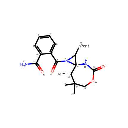 CCCCCC1N(C(=O)c2ccccc2C(N)=O)[C@]12NC(=O)OCC(C)(C)[C@@H]2C